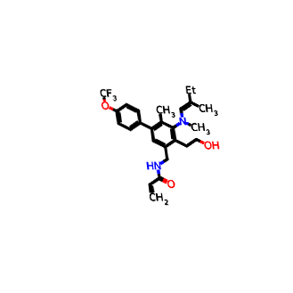 C=CC(=O)NCc1cc(-c2ccc(OC(F)(F)F)cc2)c(C)c(N(C)/C=C(\C)CC)c1CCO